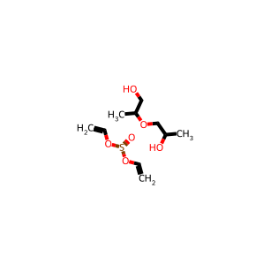 C=COS(=O)OC=C.CC(O)COC(C)CO